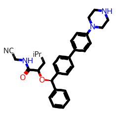 CC(C)CC(O[C@H](c1ccccc1)c1ccc(-c2ccc(N3CCNCC3)cc2)cc1)C(=O)NCC#N